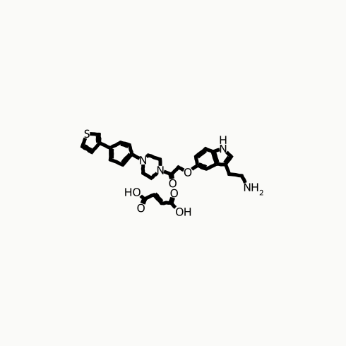 NCCc1c[nH]c2ccc(OCC(=O)N3CCN(c4ccc(-c5ccsc5)cc4)CC3)cc12.O=C(O)/C=C/C(=O)O